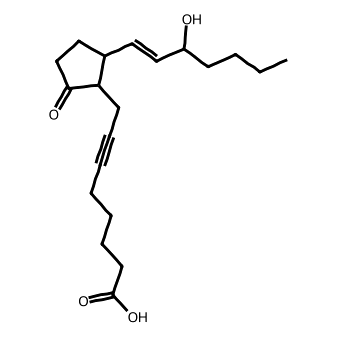 CCCCC(O)C=CC1CCC(=O)C1CC#CCCCCC(=O)O